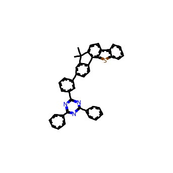 CC1(C)c2cc(-c3cccc(-c4nc(-c5ccccc5)nc(-c5ccccc5)n4)c3)ccc2-c2c1ccc1c2sc2ccccc21